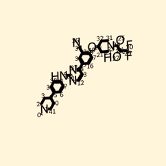 CN1CCC(c2ccc(Nc3nccc(-c4ccc(OC5CCN(C(=O)[C@H](O)C(F)F)CC5)c(C#N)c4)n3)cc2)CC1